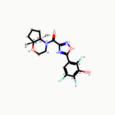 O=C(c1noc(-c2cc(F)c(F)c(O)c2F)n1)N1CCO[C@@H]2CCC[C@H]21